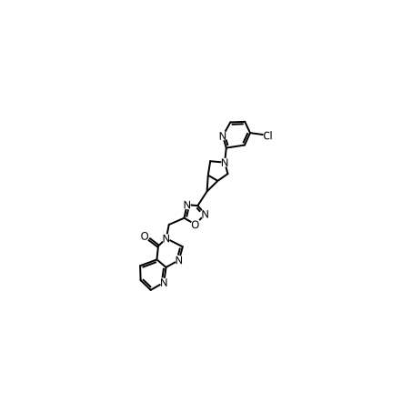 O=c1c2cccnc2ncn1Cc1nc(C2C3CN(c4cc(Cl)ccn4)CC32)no1